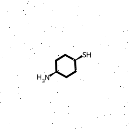 N[C@H]1CC[C@@H](S)CC1